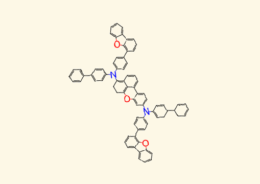 C1=CCC(C2C=CC(N(c3ccc(-c4cccc5c4oc4ccccc45)cc3)c3ccc4c(c3)OC3=c5c-4cccc5=C(N(c4ccc(-c5ccccc5)cc4)c4ccc(-c5cccc6c5oc5ccccc56)cc4)CC3)=CC2)C=C1